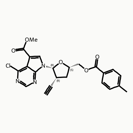 C#C[C@H]1C[C@@H](COC(=O)c2ccc(C)cc2)O[C@H]1n1cc(C(=O)OC)c2c(Cl)ncnc21